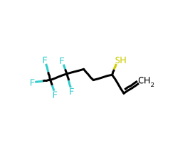 C=CC(S)CCC(F)(F)C(F)(F)F